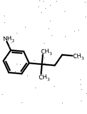 CCCC(C)(C)c1cccc(N)c1